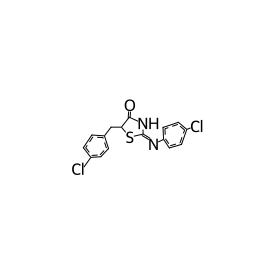 O=C1N/C(=N\c2ccc(Cl)cc2)SC1Cc1ccc(Cl)cc1